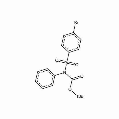 CC(C)(C)OC(=O)N(c1ccccc1)S(=O)(=O)c1ccc(Br)cc1